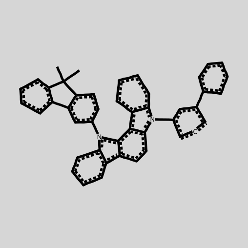 CC1(C)c2ccccc2-c2cc(-n3c4ccccc4c4ccc5c(c6ccccc6n5-c5cccc(-c6ccccc6)c5)c43)ccc21